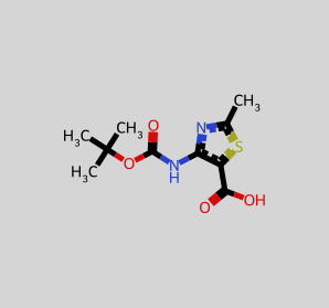 Cc1nc(NC(=O)OC(C)(C)C)c(C(=O)O)s1